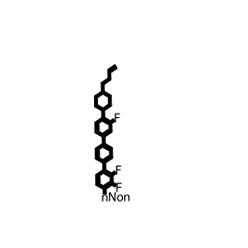 C=CCCC1CCC(c2ccc(-c3ccc(-c4ccc(CCCCCCCCC)c(F)c4F)cc3)cc2F)CC1